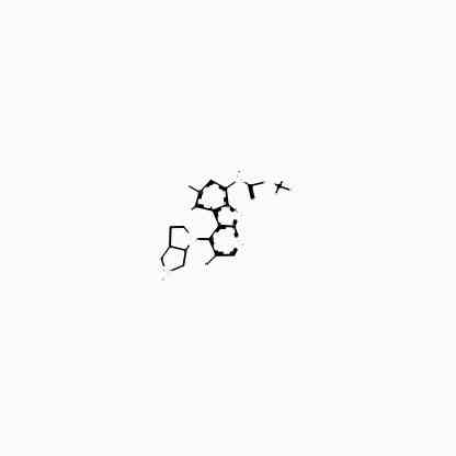 CN1CC2CCN(c3c(Cl)cnc4[nH]c5c(N(C)C(=O)OC(C)(C)C)cc(F)c(F)c5c34)C2C1